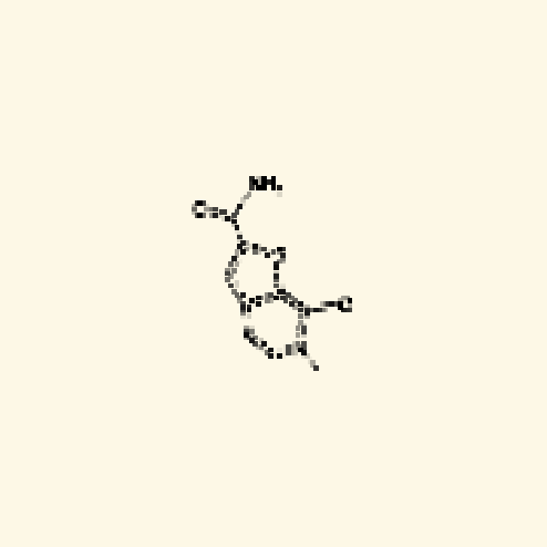 Cn1ccc2cc(C(N)=O)sc2c1=O